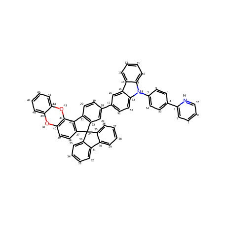 c1ccc(-c2ccc(-n3c4ccccc4c4cc(-c5ccc6c(c5)C5(c7ccccc7-c7ccccc75)c5ccc7c(c5-6)Oc5ccccc5O7)ccc43)cc2)nc1